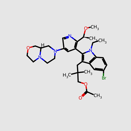 CCn1c(-c2cc(N3CCN4CCOC[C@@H]4C3)cnc2[C@H](C)OC)c(CC(C)(C)COC(C)=O)c2cc(Br)ccc21